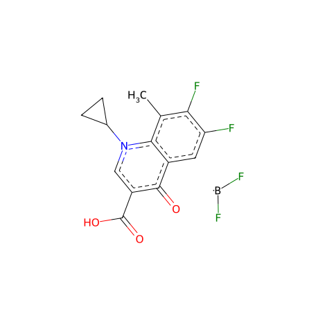 Cc1c(F)c(F)cc2c(=O)c(C(=O)O)cn(C3CC3)c12.F[B]F